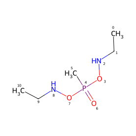 CCNOP(C)(=O)ONCC